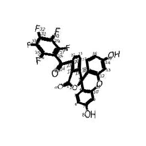 O=C1OC2(c3ccc(O)cc3Oc3cc(O)ccc32)c2cccc(C(=O)c3c(F)c(F)c(F)c(F)c3F)c21